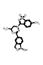 Cc1ccc2c(c1)S(=O)(=O)N=C2N(CC(C)C)/N=C/c1ccc2c(c1)COB2O